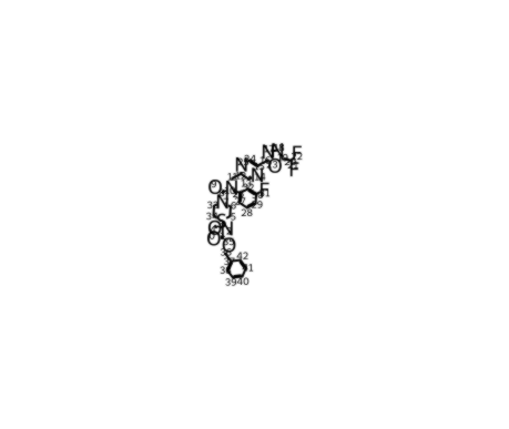 O=C(N=S1(=O)CCN(C(=O)N(Cc2cnc(-c3nnc(C(F)F)o3)cn2)c2cccc(F)c2)CC1)OCc1ccccc1